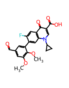 COc1cc(C=O)cc(-c2cc3c(cc2F)c(=O)c(C(=O)O)cn3C2CC2)c1OC